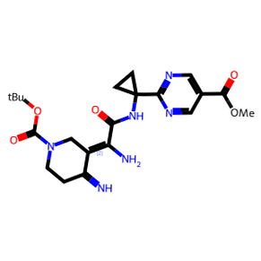 COC(=O)c1cnc(C2(NC(=O)/C(N)=C3\CN(C(=O)OC(C)(C)C)CCC3=N)CC2)nc1